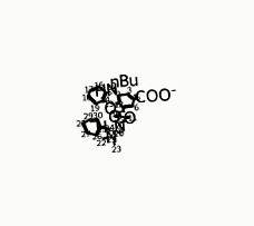 CCCCNc1cc(C(=O)[O-])cc(S(N)(=O)=O)c1Oc1ccccc1.C[N+](C)(C)Cc1ccccc1